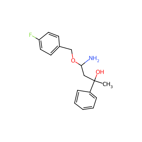 CC(O)(CC(N)OCc1ccc(F)cc1)c1ccccc1